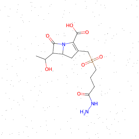 CC(O)C1C(=O)N2C(C(=O)O)=C(CS(=O)(=O)CCCC(=O)NN)CC12